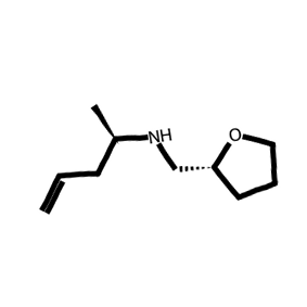 C=CC[C@@H](C)NC[C@H]1CCCO1